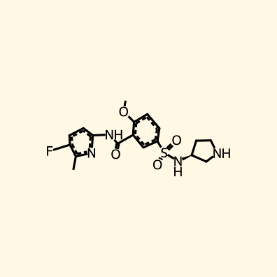 COc1ccc(S(=O)(=O)N[C@H]2CCNC2)cc1C(=O)Nc1ccc(F)c(C)n1